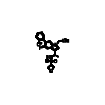 C[C@@H](NS(=O)(=O)C1COC1)c1cn(CC(C)(C)C)c2cc(-c3ccccc3C(F)(F)F)c(F)cc12